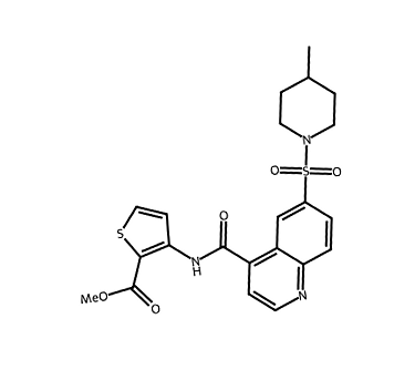 COC(=O)c1sccc1NC(=O)c1ccnc2ccc(S(=O)(=O)N3CCC(C)CC3)cc12